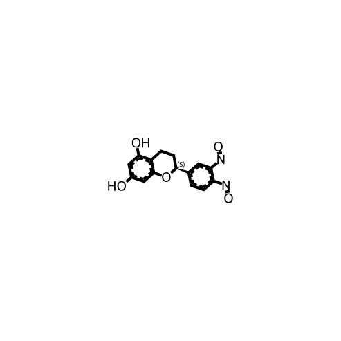 O=Nc1ccc([C@@H]2CCc3c(O)cc(O)cc3O2)cc1N=O